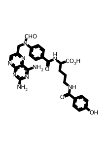 Nc1nc(N)c2nc(CN(C=O)c3ccc(C(=O)NC(CCCNC(=O)c4ccc(O)cc4)C(=O)O)cc3)cnc2n1